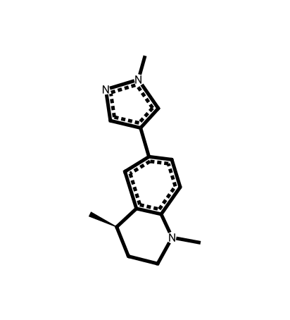 C[C@@H]1CCN(C)c2ccc(-c3cnn(C)c3)cc21